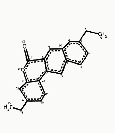 CCc1ccc2cc3c(cc2c1)c(=O)oc1cc(CC)ccc13